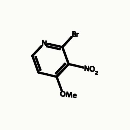 COc1ccnc(Br)c1[N+](=O)[O-]